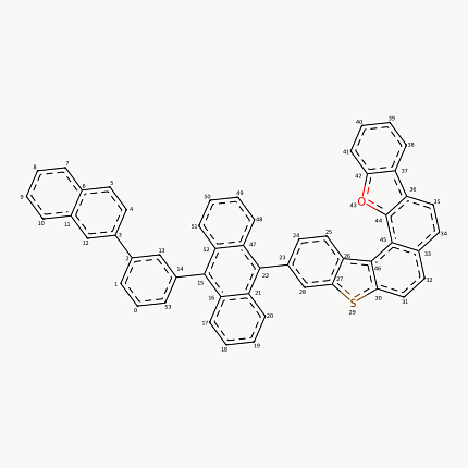 c1cc(-c2ccc3ccccc3c2)cc(-c2c3ccccc3c(-c3ccc4c(c3)sc3ccc5ccc6c7ccccc7oc6c5c34)c3ccccc23)c1